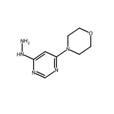 NNc1cc(N2CCOCC2)ncn1